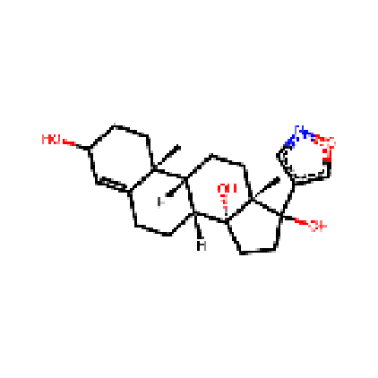 C[C@]12CCC(O)C=C1CC[C@@H]1[C@H]2CC[C@]2(C)C(O)(c3cnoc3)CC[C@@]12O